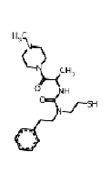 CC(NC(=O)N(CCS)CCc1ccccc1)C(=O)N1CCN(C)CC1